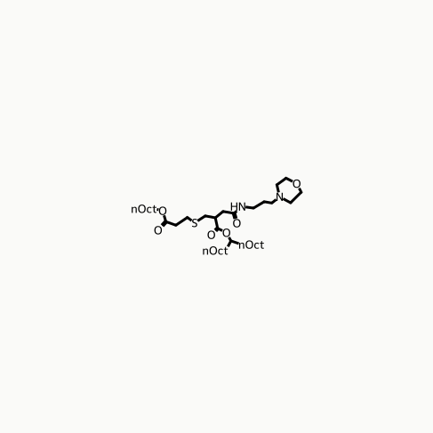 CCCCCCCCOC(=O)CCSCC(CC(=O)NCCCN1CCOCC1)C(=O)OC(CCCCCCCC)CCCCCCCC